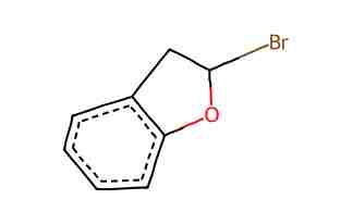 BrC1Cc2ccccc2O1